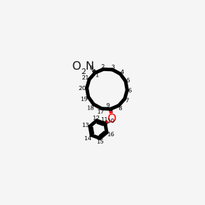 O=[N+]([O-])C1CCCCCCCC(Oc2ccccc2)CCCCC1